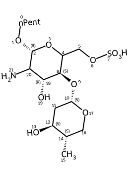 CCCCCO[C@@H]1OC(COS(=O)(=O)O)[C@@H](O[C@H]2C[C@H](O)[C@@H](C)CO2)[C@H](O)C1N